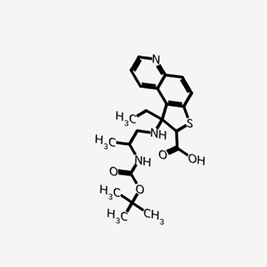 CCC1(NCC(C)NC(=O)OC(C)(C)C)c2c(ccc3ncccc23)SC1C(=O)O